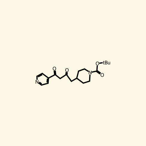 CC(C)(C)OC(=O)N1CCC(CC(=O)CC(=O)c2ccncc2)CC1